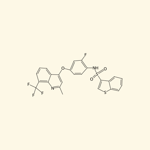 Cc1cc(Oc2ccc(NS(=O)(=O)c3csc4ccccc34)c(F)c2)c2cccc(C(F)(F)F)c2n1